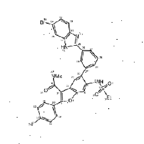 CCS(=O)(=O)Nc1cc2oc(-c3ccc(F)cc3)c(C(=O)NC)c2cc1-c1cccc(-c2nc3ccc(Br)cc3[nH]2)c1